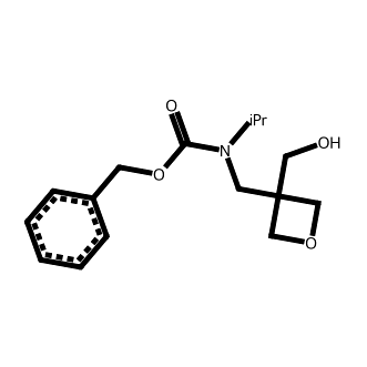 CC(C)N(CC1(CO)COC1)C(=O)OCc1ccccc1